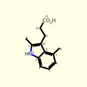 Cc1[nH]c2cccc(C)c2c1CCC(=O)O